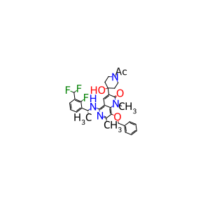 CC(=O)N1CCC(O)(c2cc3c(N[C@H](C)c4cccc(C(F)F)c4F)nc(C)c(OCc4ccccc4)c3n(C)c2=O)CC1